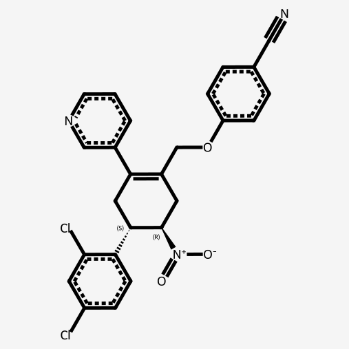 N#Cc1ccc(OCC2=C(c3cccnc3)C[C@@H](c3ccc(Cl)cc3Cl)[C@H]([N+](=O)[O-])C2)cc1